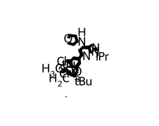 [CH2]C(O[Si](C)(C)C(C)(C)C)C(Oc1cc(Cl)cc(-c2cc(NC3CCOCC3)c3cnn(C(C)C)c3n2)c1)C(C)(C)C